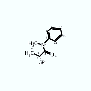 CC(C)[C@H](C)C(=O)N(C)c1ccccc1